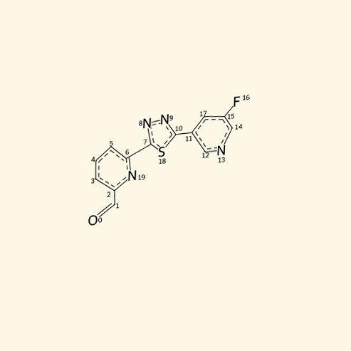 O=Cc1cccc(-c2nnc(-c3cncc(F)c3)s2)n1